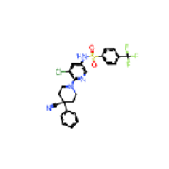 N#CC1(c2ccccc2)CCN(c2ncc(NS(=O)(=O)c3ccc(C(F)(F)F)cc3)cc2Cl)CC1